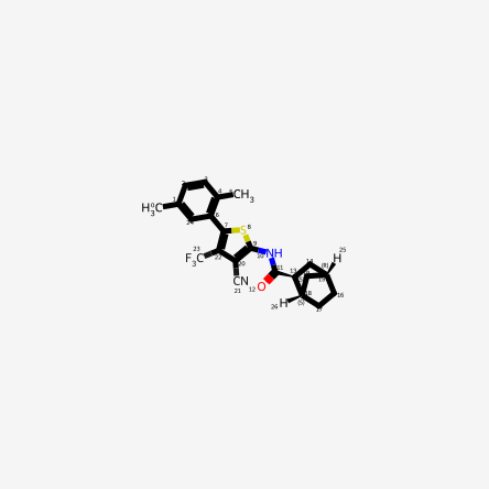 Cc1ccc(C)c(-c2sc(NC(=O)[C@H]3C[C@@H]4CC[C@H]3C4)c(C#N)c2C(F)(F)F)c1